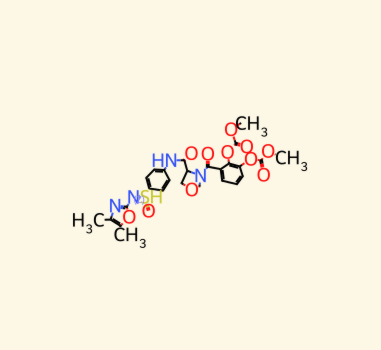 COC(=O)Oc1cccc(C(=O)N2COCC2C(=O)Nc2ccc(/[SH](=O)=N/c3nc(C)c(C)o3)cc2)c1OC(=O)OC